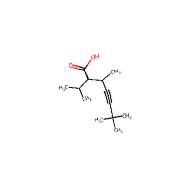 CC(C)C(C(=O)O)C(C)C#CC(C)(C)C